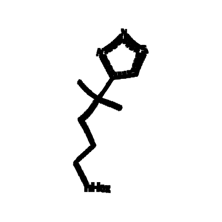 CCCCCCCCCC(C)(C)c1csnn1